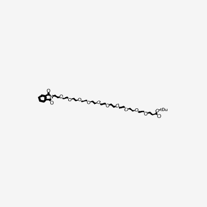 CC(C)(C)OC(=O)CCOCCOCCOCCOCCOCCOCCOCCOCCOCCOCCN1C(=O)c2ccccc2C1=O